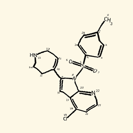 Cc1ccc(S(=O)(=O)n2c(C3=CCNCC3)cc3c(Cl)ccnc32)cc1